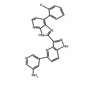 Nc1cncc(-c2ccc3[nH]nc(-c4nc5c(-c6ccccc6F)ccnc5[nH]4)c3n2)c1